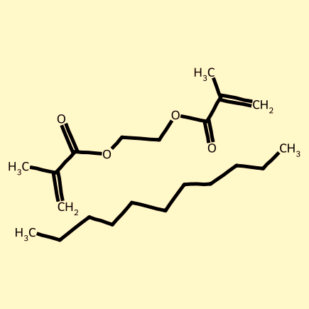 C=C(C)C(=O)OCCOC(=O)C(=C)C.CCCCCCCCCCC